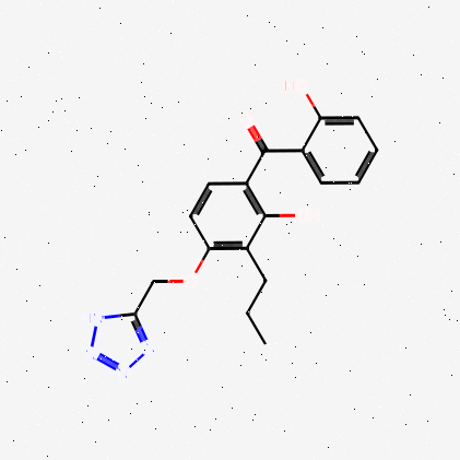 CCCc1c(OCc2nnn[nH]2)ccc(C(=O)c2ccccc2O)c1O